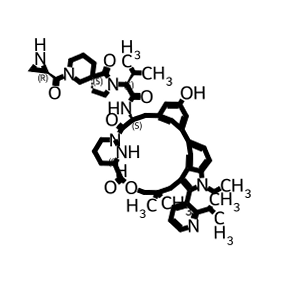 CCn1c(-c2cccnc2C(C)C)c2c3cc(ccc31)-c1cc(O)cc(c1)C[C@H](NC(=O)[C@H](C(C)C)N1CC[C@]3(CCCN(C(=O)[C@H]4CN4)C3)C1=O)C(=O)N1CCC[C@H](N1)C(=O)OCC(C)(C)C2